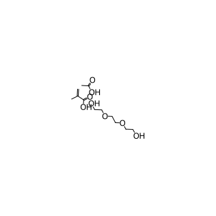 C=C(C)C(=O)O.CC(=O)O.OCCOCCOCCO